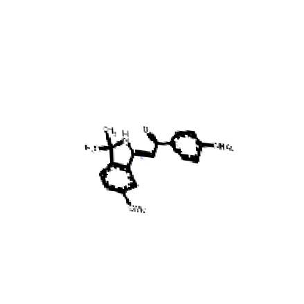 COc1ccc2c(c1)/C(=C/C(=O)c1ccc(NC(C)=O)cc1)NC2(C)C